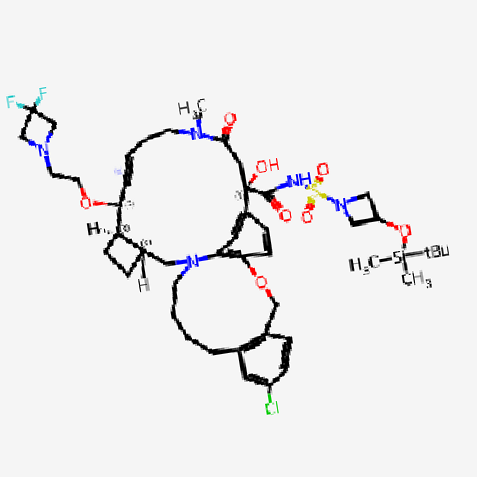 CN1CC/C=C/[C@H](OCCN2CC(F)(F)C2)[C@@H]2CC[C@H]2CN2CCCCc3cc(Cl)ccc3COc3ccc(cc32)[C@@](O)(C(=O)NS(=O)(=O)N2CC(O[Si](C)(C)C(C)(C)C)C2)CC1=O